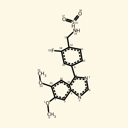 COc1cc2ncnc(-c3ccc(CN[SH](=O)=O)c(F)c3)c2cc1OC